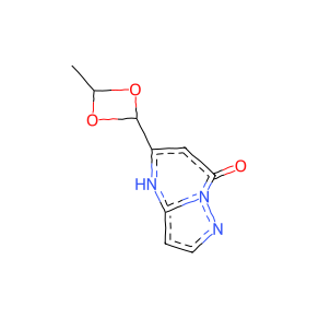 CC1OC(c2cc(=O)n3nccc3[nH]2)O1